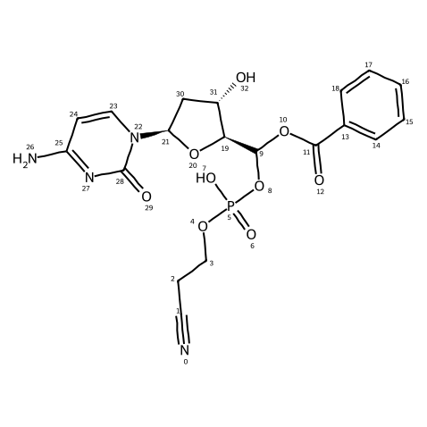 N#CCCOP(=O)(O)OC(OC(=O)c1ccccc1)[C@H]1O[C@@H](n2ccc(N)nc2=O)C[C@@H]1O